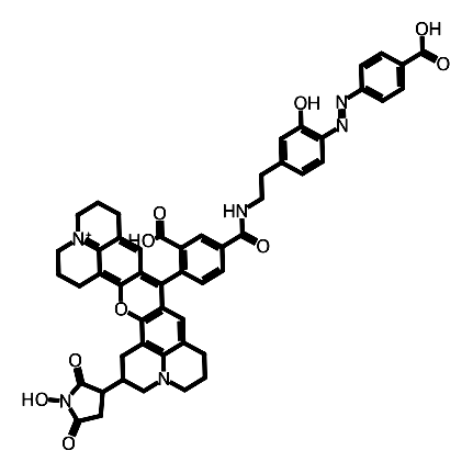 O=C(O)c1ccc(/N=N/c2ccc(CCNC(=O)c3ccc(C4=c5cc6c7c(c5Oc5c4cc4c8c5CC(C5CC(=O)N(O)C5=O)CN8CCC4)CCC[N+]=7CCC6)c(C(=O)O)c3)cc2O)cc1